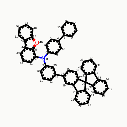 c1ccc(-c2ccc(N(c3cccc(-c4ccc5c(c4)-c4ccccc4C54c5ccccc5-c5ccccc54)c3)c3cccc4c3oc3ccccc34)cc2)cc1